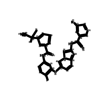 Cc1ccc(NC(=O)c2cccc(C(C)(C)C#N)c2)cc1Oc1ccc2nc(NC(=O)c3cncc(Br)c3)nn2c1